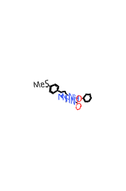 CSc1ccc(-c2cc(NNC(=O)Oc3ccccc3)n(C)n2)cc1